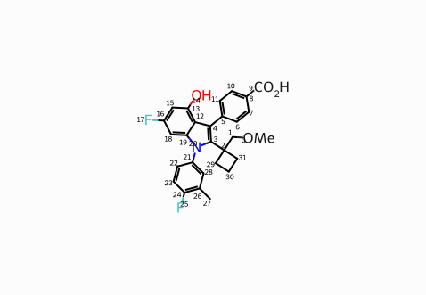 COCC1(c2c(-c3ccc(C(=O)O)cc3)c3c(O)cc(F)cc3n2-c2ccc(F)c(C)c2)CCC1